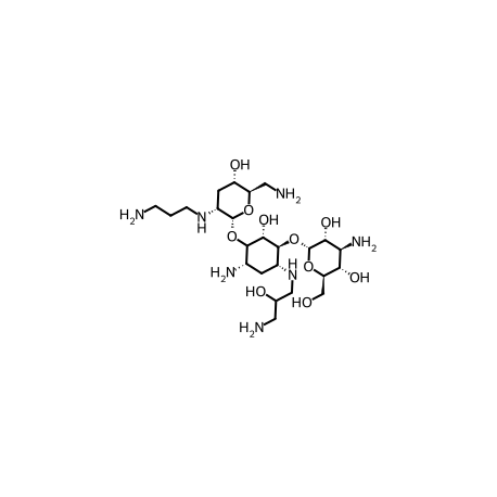 NCCCN[C@@H]1C[C@H](O)[C@@H](CN)O[C@@H]1OC1[C@@H](N)C[C@@H](NCC(O)CN)[C@H](O[C@H]2O[C@H](CO)[C@@H](O)[C@H](N)[C@H]2O)[C@H]1O